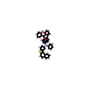 c1ccc(N(c2ccc(C34c5ccccc5Oc5cccc(c53)-c3ccccc34)cc2)c2ccc3sc4ccc5ccccc5c4c3c2)cc1